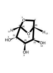 O[C@H]1[C@H](O)[C@@H]2OC[C@@H](O2)[C@H]1O